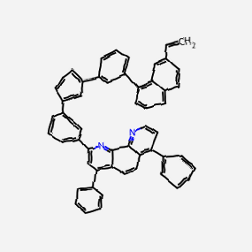 C=Cc1ccc2cccc(-c3cccc(-c4cccc(-c5cccc(-c6cc(-c7ccccc7)c7ccc8c(-c9ccccc9)ccnc8c7n6)c5)c4)c3)c2c1